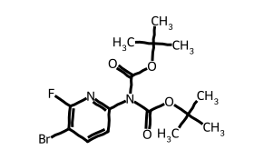 CC(C)(C)OC(=O)N(C(=O)OC(C)(C)C)c1ccc(Br)c(F)n1